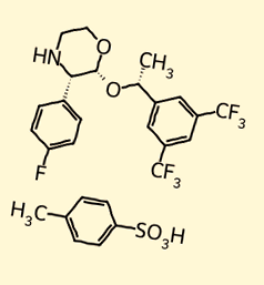 C[C@@H](O[C@H]1OCCN[C@H]1c1ccc(F)cc1)c1cc(C(F)(F)F)cc(C(F)(F)F)c1.Cc1ccc(S(=O)(=O)O)cc1